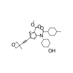 COC(=O)c1sc(C#CC2(C)COC2)cc1N(C(=O)C1CCC(C)CC1)[C@H]1CC[C@@H](O)CC1